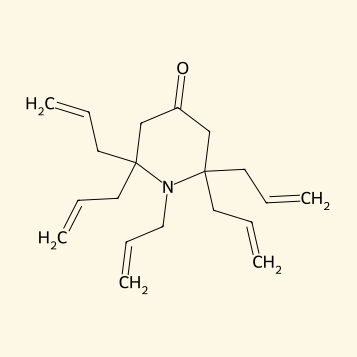 C=CCN1C(CC=C)(CC=C)CC(=O)CC1(CC=C)CC=C